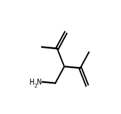 C=C(C)C(CN)C(=C)C